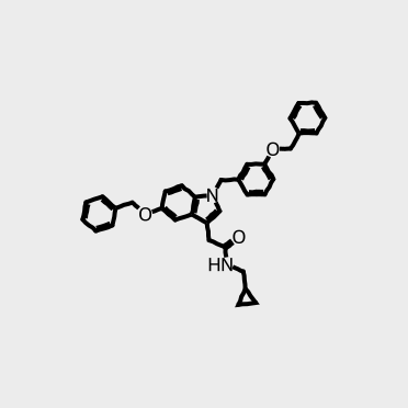 O=C(Cc1cn(Cc2cccc(OCc3ccccc3)c2)c2ccc(OCc3ccccc3)cc12)NCC1CC1